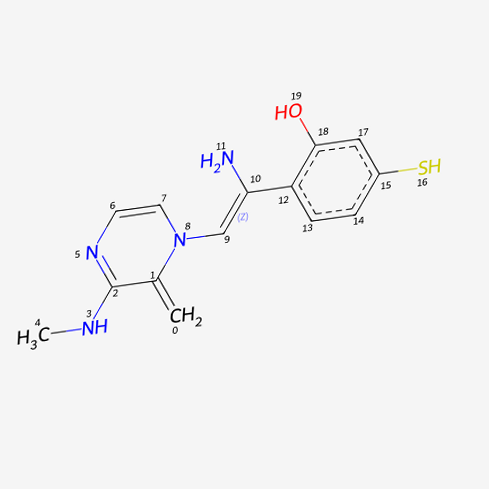 C=C1C(NC)=NC=CN1/C=C(\N)c1ccc(S)cc1O